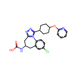 O=C(O)NC1Cc2cc(Cl)ccc2-n2c(nnc2C2CCC(Oc3ccccn3)CC2)C1